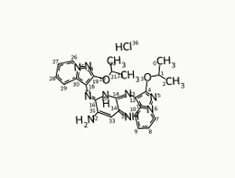 CC(C)Oc1nn2ccccc2c1N=C1NC(=Nc2c(OC(C)C)nn3ccccc23)C(N)=CC1=N.Cl